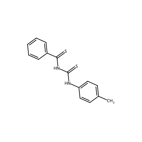 Cc1ccc(NC(=S)NC(=S)c2ccccc2)cc1